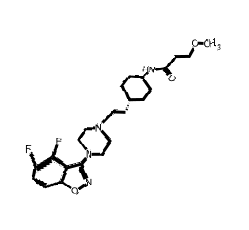 COCCC(=O)N[C@H]1CC[C@H](CCN2CCN(C3=NOC4C=CC(F)=C(F)C34)CC2)CC1